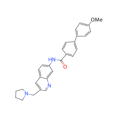 COc1ccc(-c2ccc(C(=O)Nc3ccc4cc(CN5CCCC5)cnc4c3)cc2)cc1